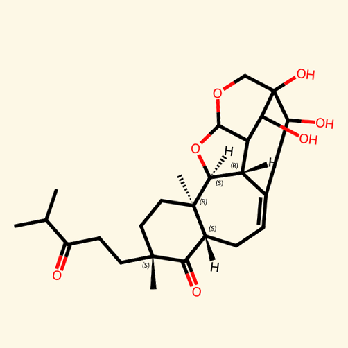 CC(C)C(=O)CC[C@]1(C)CC[C@]2(C)[C@H](CC=C3C(O)C4(O)COC5O[C@H]2[C@@H]3C5C4O)C1=O